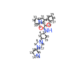 O=C(Nc1ccc(N2CCN(c3cccnc3)CC2)cc1)C(=O)c1c(-c2ccccc2)cc2ccccn12